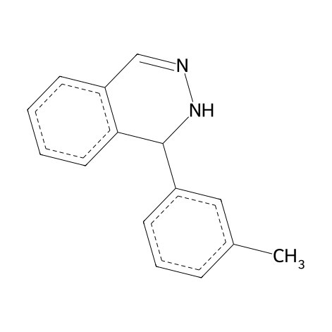 Cc1cccc(C2NN=Cc3ccccc32)c1